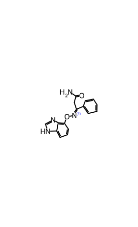 NC(=O)C/C(=N\Oc1cccc2[nH]cnc12)c1ccccc1